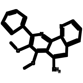 COc1c(-c2ccccc2)nc2c(c(N)cc3cccnc32)c1OC